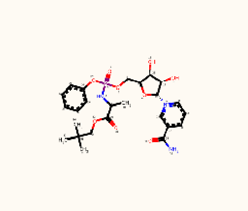 CC(NP(=O)(OCC1O[C@@H]([n+]2cccc(C(N)=O)c2)[C@H](O)[C@@H]1O)Oc1ccccc1)C(=O)OCC(C)(C)C